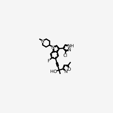 Cc1cc(C(C)(O)C#Cc2cc3c(-c4c[nH]nc4Cl)cn(C4CCN(C)CC4)c3cc2F)no1